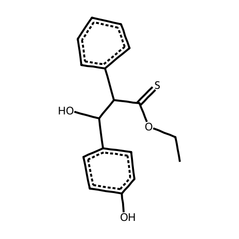 CCOC(=S)C(c1ccccc1)C(O)c1ccc(O)cc1